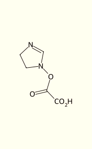 O=C(O)C(=O)ON1C=NCC1